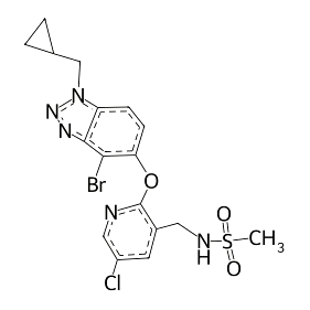 CS(=O)(=O)NCc1cc(Cl)cnc1Oc1ccc2c(nnn2CC2CC2)c1Br